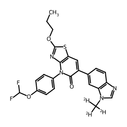 [2H]C([2H])([2H])n1cnc2ccc(-c3cc4sc(OCCC)nc4n(-c4ccc(OC(F)F)cc4)c3=O)cc21